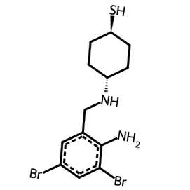 Nc1c(Br)cc(Br)cc1CN[C@H]1CC[C@H](S)CC1